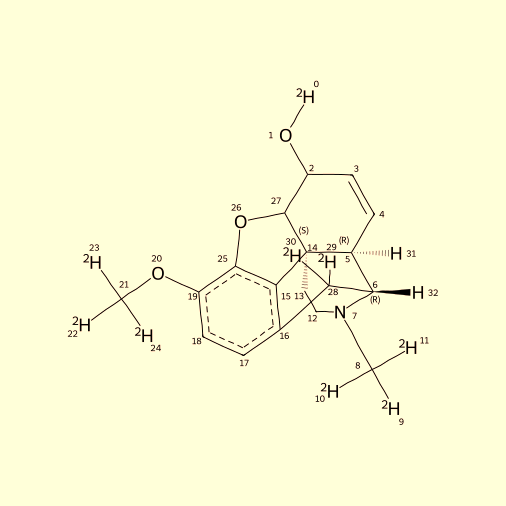 [2H]OC1C=C[C@H]2[C@@H]3N(C([2H])([2H])[2H])CC[C@@]24c2c(ccc(OC([2H])([2H])[2H])c2OC14)C3([2H])[2H]